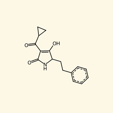 O=C1NC(CCc2ccccc2)C(O)=C1C(=O)C1CC1